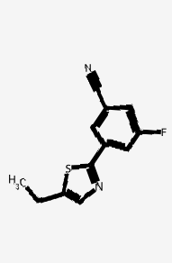 CCc1cnc(-c2cc(F)cc(C#N)c2)s1